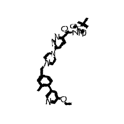 CCOc1cncc(-c2ccc(CN3CCN(c4ccc(C(=O)NS(=O)(=O)C(C)(C)C)nn4)CC3)cc2C)c1